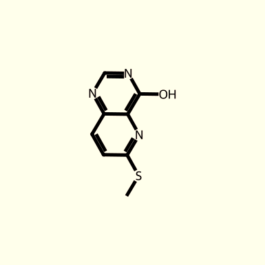 CSc1ccc2ncnc(O)c2n1